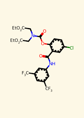 CCOC(=O)CN(CC(=O)OCC)C(=O)Oc1ccc(Cl)cc1C(=O)Nc1cc(C(F)(F)F)cc(C(F)(F)F)c1